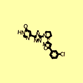 Cn1c(-c2cc(=O)[nH]cn2)nnc1N1CCC[C@@H]1c1cc(-c2cccc(Cl)c2)on1